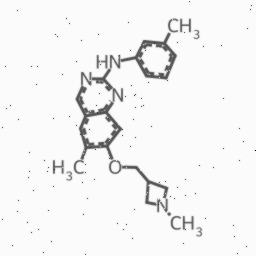 Cc1cccc(Nc2ncc3cc(C)c(OCC4CN(C)C4)cc3n2)c1